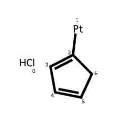 Cl.[Pt][C]1=CC=CC1